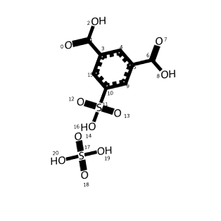 O=C(O)c1cc(C(=O)O)cc(S(=O)(=O)O)c1.O=S(=O)(O)O